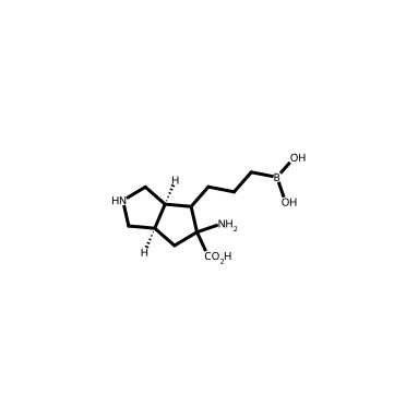 NC1(C(=O)O)C[C@H]2CNC[C@H]2C1CCCB(O)O